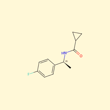 C[C@H](NC(=O)C1CC1)c1ccc(F)cc1